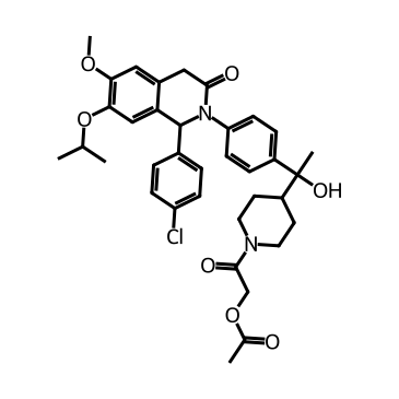 COc1cc2c(cc1OC(C)C)C(c1ccc(Cl)cc1)N(c1ccc(C(C)(O)C3CCN(C(=O)COC(C)=O)CC3)cc1)C(=O)C2